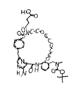 CN(Cc1cccc2c1OCCOCCOCCN(CCCC(=O)O)S(=O)(=O)c1ccc(cc1)-c1cnc(N)c(n1)C(=O)N2)C(=O)OC(C)(C)C